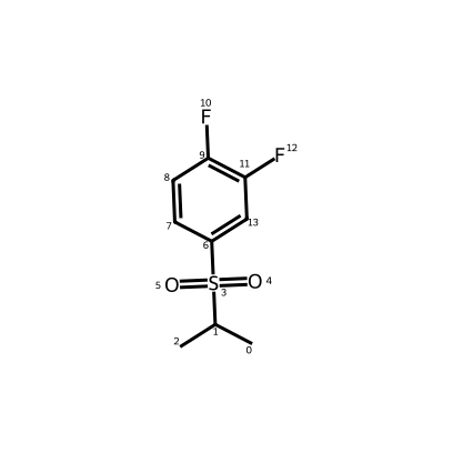 CC(C)S(=O)(=O)c1ccc(F)c(F)c1